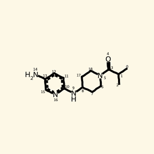 CC(C)C(=O)N1CCC(Nc2ccc(N)cn2)CC1